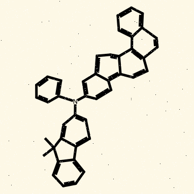 CC1(C)c2ccccc2-c2ccc(N(c3ccccc3)c3ccc4c(ccc5c4ccc4ccc6ccccc6c45)c3)cc21